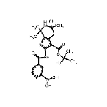 CC1(C)Cc2c(sc(NC(=O)c3cccc(B(O)O)c3)c2C(=O)OC(C)(C)C)C(C)(C)N1